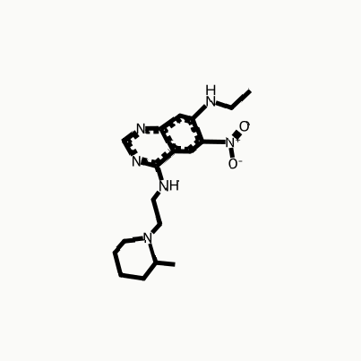 CCNc1cc2ncnc(NCCN3CCCCC3C)c2cc1[N+](=O)[O-]